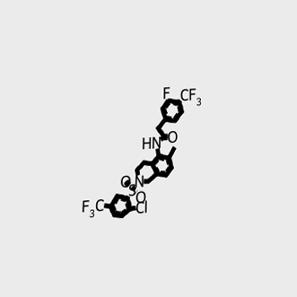 Cc1ccc2c(c1NC(=O)Cc1ccc(C(F)(F)F)c(F)c1)CCN(S(=O)(=O)c1cc(C(F)(F)F)ccc1Cl)C2